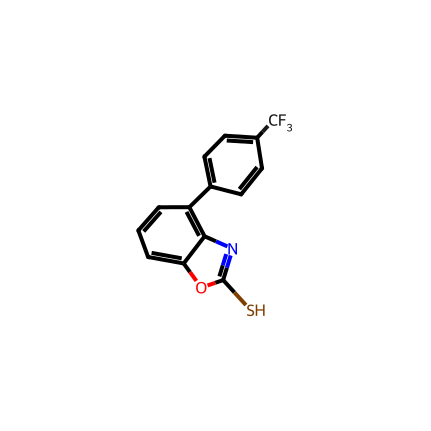 FC(F)(F)c1ccc(-c2cccc3oc(S)nc23)cc1